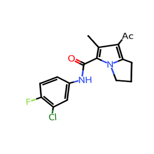 CC(=O)c1c(C)c(C(=O)Nc2ccc(F)c(Cl)c2)n2c1CCC2